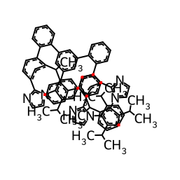 CC(C)c1cccc(C(C)C)c1-n1ccnc1-c1ccc(-c2ccccc2-c2cc(-c3ccccc3-c3ccc4cc3C(C)c3cccc(C(C)C)c3-n3ccnc3-4)cc(-c3ccccc3-c3ccc4cc3C(C)c3cccc(C(C)C)c3-n3ccnc3-4)c2)cc1